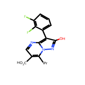 CC(C)c1c(C(=O)O)cnc2c(-c3cccc(F)c3F)c(O)nn12